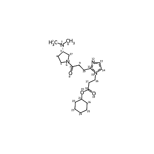 CN(C)[C@H]1CCN(C(=O)CCc2nccn2CCC(=O)OC2CCCCC2)C1